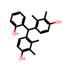 Cc1c(O)ccc(C(c2ccccc2O)c2ccc(O)c(C)c2C)c1C